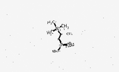 CC(C)(C)P(CC[N+](C)(C)C)C(C)(C)C.[Cl-]